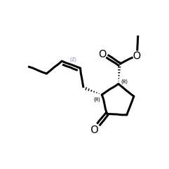 CC/C=C\C[C@H]1C(=O)CC[C@H]1C(=O)OC